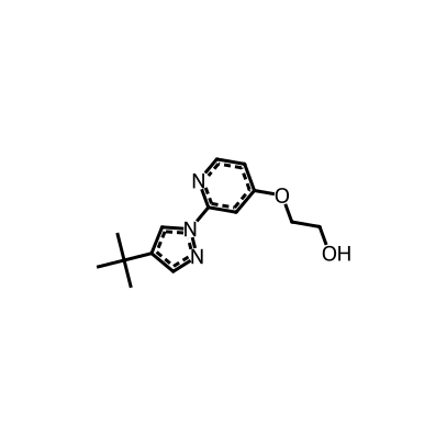 CC(C)(C)c1cnn(-c2cc(OCCO)ccn2)c1